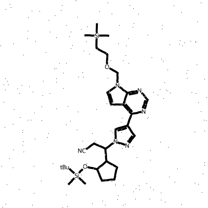 CC(C)(C)[Si](C)(C)OC1CCCC1C(CC#N)n1cc(-c2ncnc3c2ccn3COCC[Si](C)(C)C)cn1